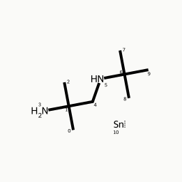 CC(C)(N)CNC(C)(C)C.[Sn]